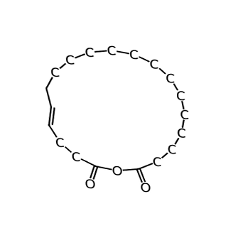 O=C1CC/C=C/CCCCCCCCCCCCCC(=O)O1